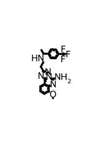 COc1cccc2c1nc(N)n1nc(CCNC(C)c3ccc(C(F)(F)F)cc3)nc21